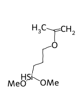 C=C(C)OCCC[SiH](OC)OC